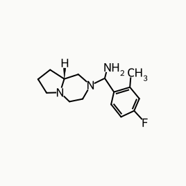 Cc1cc(F)ccc1C(N)N1CCN2CCC[C@@H]2C1